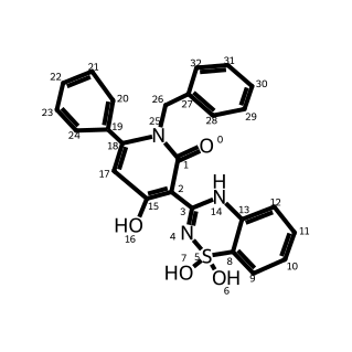 O=c1c(C2=NS(O)(O)c3ccccc3N2)c(O)cc(-c2ccccc2)n1Cc1ccccc1